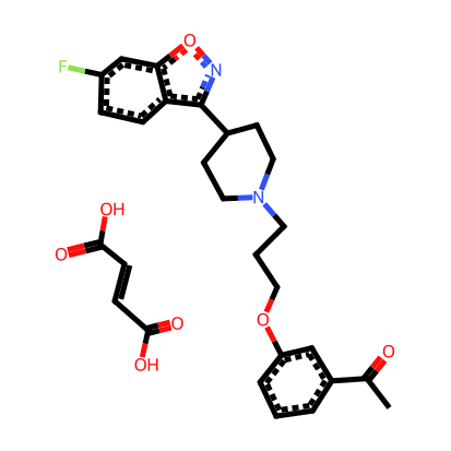 CC(=O)c1cccc(OCCCN2CCC(c3noc4cc(F)ccc34)CC2)c1.O=C(O)/C=C/C(=O)O